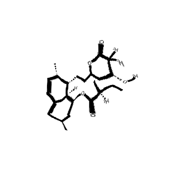 [2H]O[C@@H]1CC(CC[C@@H]2[C@@H]3C(=C[C@H](C)C[C@@H]3OC(=O)[C@@]([2H])(C)CC)C=C[C@@H]2C)OC(=O)C1([2H])[2H]